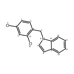 Clc1ccc(Cn2c[c]c3ccccc32)c(Cl)c1